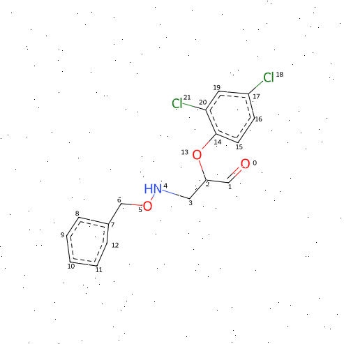 O=CC(CNOCc1ccccc1)Oc1ccc(Cl)cc1Cl